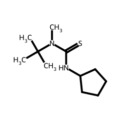 CN(C(=S)NC1CCCC1)C(C)(C)C